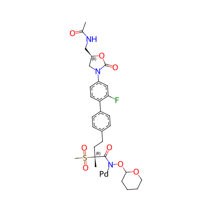 CC(=O)NC[C@@H]1CN(c2ccc(-c3ccc(CC[C@](C)(C(=O)[N]([Pd])OC4CCCCO4)S(C)(=O)=O)cc3)c(F)c2)C(=O)O1